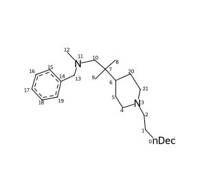 CCCCCCCCCCCCN1CCC(C(C)(C)CN(C)Cc2ccccc2)CC1